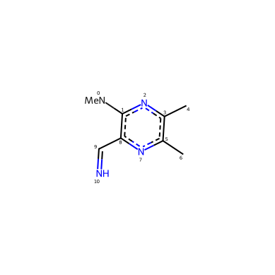 CNc1nc(C)c(C)nc1C=N